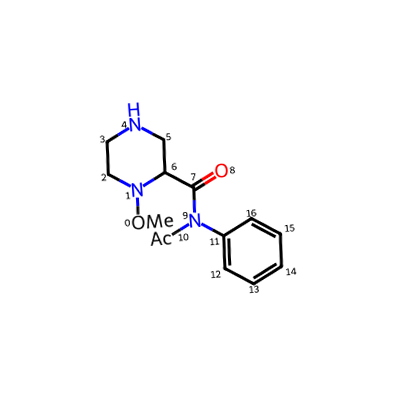 CON1CCNCC1C(=O)N(C(C)=O)c1ccccc1